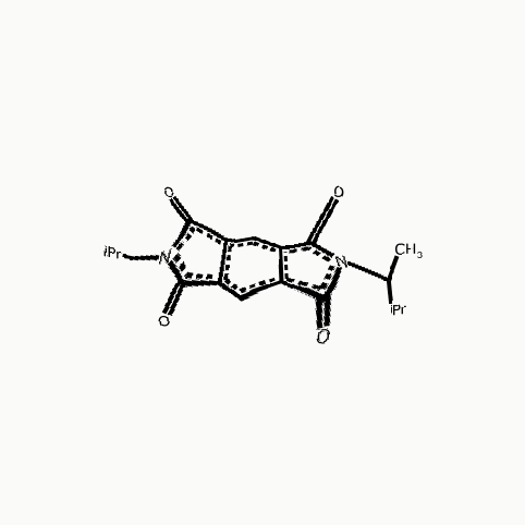 CC(C)C(C)n1c(=O)c2cc3c(=O)n(C(C)C)c(=O)c3cc2c1=O